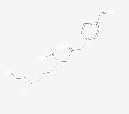 C=Cc1ccc(CC(=C)CC(CCCC(C)CCC)C(=C)C)cc1